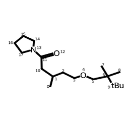 CC(CCOCC(C)(C)C(C)(C)C)CC(=O)N1CCCC1